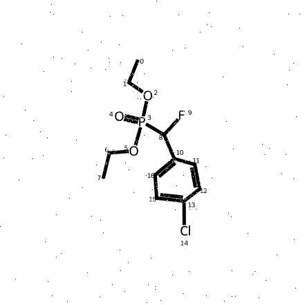 CCOP(=O)(OCC)C(F)c1ccc(Cl)cc1